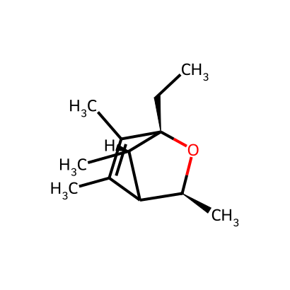 CC[C@]12O[C@@H](C)C(C(C)=C1C)[C@@H]2C